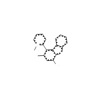 Cc1cc(C#N)c2oc3ccccc3c2c1-c1cccc[n+]1C